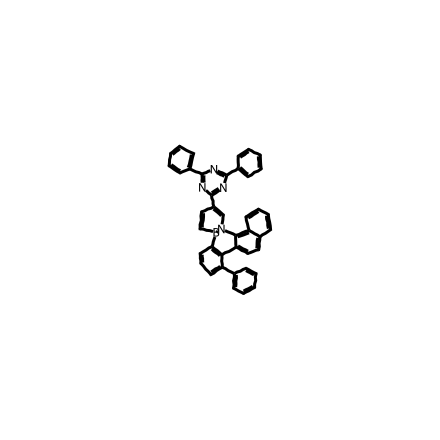 C1=CC(c2nc(-c3ccccc3)nc(-c3ccccc3)n2)=CN2B1c1cccc(-c3ccccc3)c1-c1ccc3ccccc3c12